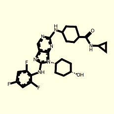 O=C(NC1CC1)C1CCC(Nc2ncc3nc(Nc4c(F)cc(F)cc4F)n([C@H]4CC[C@@H](O)CC4)c3n2)CC1